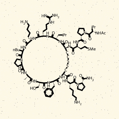 CCCCC1NC(=O)[C@H](CCCCN)NC(=O)[C@H](CCCNC(=N)N)NC(=O)[C@H](CC(C)C)NC(=O)[C@@H](NC(=O)[C@H](CCSC)NC(=O)[C@@H]2CCCN2C(=O)[C@@H](NC(C)=O)C(C)C)CCSSC[C@@H](C(=O)N[C@@H](CCCCN)C(=O)N2CCC[C@H]2C(N)=O)NC(=O)[C@H](Cc2ccccc2)NC(=O)[C@H](CO)NC(=O)[C@H](C)NC(=O)[C@@H]2CCCN2C1=O